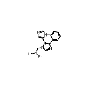 CCN(CC)CN1C=NC2c3ccccc3-n3cncc3N21